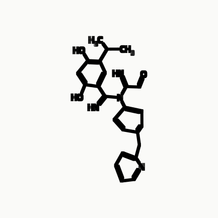 CC(C)c1cc(C(=N)N(C(=N)C=O)c2ccc(Cc3ccccn3)cc2)c(O)cc1O